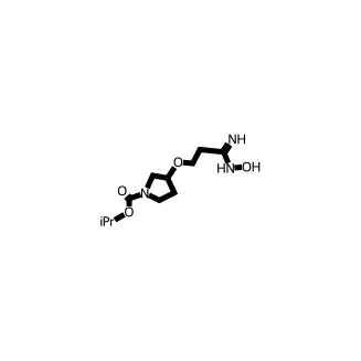 CC(C)OC(=O)N1CCC(OCCC(=N)NO)C1